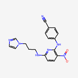 N#Cc1ccc(Nc2nc(NCCCn3ccnc3)ccc2[N+](=O)[O-])cc1